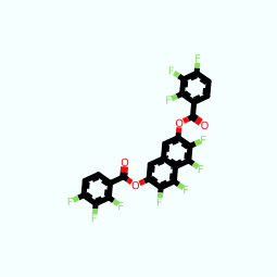 O=C(Oc1cc2cc(OC(=O)c3ccc(F)c(F)c3F)c(F)c(F)c2c(F)c1F)c1ccc(F)c(F)c1F